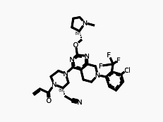 C=CC(=O)N1CCN(c2nc(OC[C@@H]3CCCN3C)nc3c2CCN(c2cccc(Cl)c2C(F)(F)F)C3)C[C@@H]1CC#N